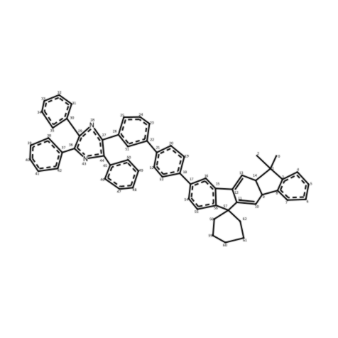 CC1(C)c2ccccc2C2C=C3C(=CC21)c1cc(-c2ccc(-c4cccc(-c5nc(-c6ccccc6)c(-c6ccccc6)nc5-c5ccccc5)c4)cc2)ccc1C31CCCCC1